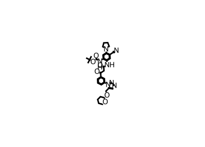 CC(C)(C)OC(=O)Nc1cc(N2CCCC2)c(C#N)cc1NC(=O)CC(=O)c1cccc(-n2nncc2COC2CCCCO2)c1